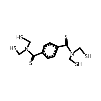 S=C(c1ccc(C(=S)N(CS)CS)cc1)N(CS)CS